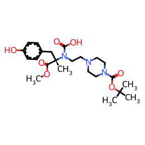 COC(=O)[C@](C)(Cc1ccc(O)cc1)N(CCN1CCN(C(=O)OC(C)(C)C)CC1)C(=O)O